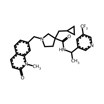 CC(NC(=O)C1(CC2CC2)CCN(Cc2ccc3ccc(=O)n(C)c3c2)C1)c1cncc(C(F)(F)F)c1